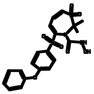 CC1(C)N(C(=O)NO)C(S(=O)(=O)c2ccc(Oc3ccccc3)cc2)=CC=CS1(=O)=O